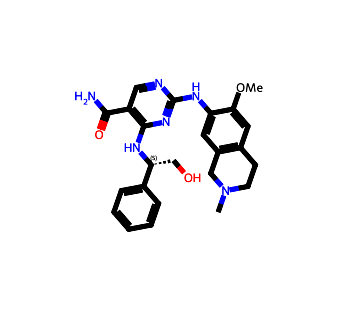 COc1cc2c(cc1Nc1ncc(C(N)=O)c(N[C@H](CO)c3ccccc3)n1)CN(C)CC2